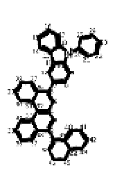 C1=C(c2cc3cc(-c4ccc5c(c4)c4ccccc4n5-c4ccccc4)c4ccccc4c3c3ccccc23)c2ccccc2CC1